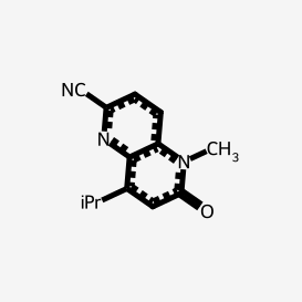 CC(C)c1cc(=O)n(C)c2ccc(C#N)nc12